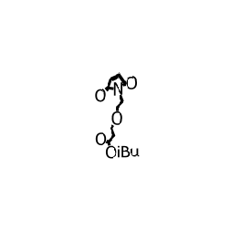 CC(C)COC(=O)CCOCCN1C(=O)C=CC1=O